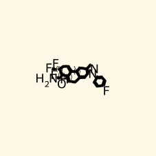 C[C@]12Cc3cnn(-c4ccc(F)cc4)c3C=C1CC[C@H]1C2=CC[C@@H](C(F)(F)F)[C@@H]1C(N)=O